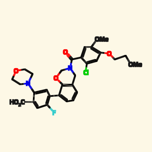 COCCOc1cc(Cl)c(C(=O)N2COc3c(cccc3-c3cc(N4CCOCC4)c(C(=O)O)cc3F)C2)cc1OC